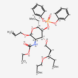 C=CCO[C@H]1O[C@H](COC)[C@@H](OP(=O)(Oc2ccccc2)Oc2ccccc2)[C@H](OCC[C@@H](CCCCCCCCCCC)OCCCCCCCCCCCC)[C@H]1NC(=O)OCC(Cl)(Cl)Cl